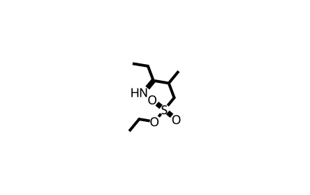 CCOS(=O)(=O)CC(C)C(=N)CC